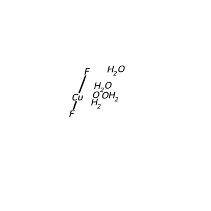 O.O.O.O.[F][Cu][F]